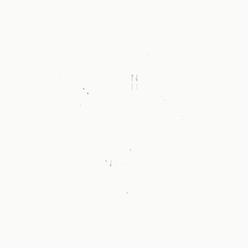 O=C(NCC1CN(Oc2ccc(N3CCOCC3=O)cc2)C(=O)O1)c1ccc(F)s1